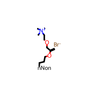 C=C(COCC[N+](C)(C)C)OCCCCCCCCCCCC.[Br-]